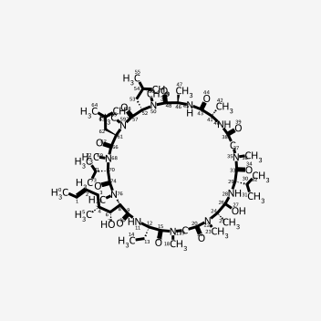 C/C=C/C[C@@H](C)[C@@H](O)[C@H]1C(=O)N[C@@H](CC)C(=O)N(C)CC(=O)N(C)[C@@H](C)C(O)N[C@@H](C(C)C)C(=O)N(C)CC(=O)N[C@@H](C)C(=O)N[C@H](C)C(=O)N(C)[C@@H](CC(C)C)C(=O)N(C)[C@H](CC(C)C)C(=O)N(C)[C@@H](C(C)C)C(=O)N1C